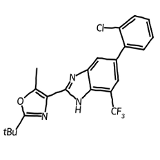 Cc1oc(C(C)(C)C)nc1-c1nc2cc(-c3ccccc3Cl)cc(C(F)(F)F)c2[nH]1